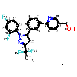 OCc1ccc(-c2cccc(C3CC(C(F)(F)C(F)(F)F)=NN3c3ccc(F)cc3F)c2)nc1